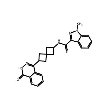 Cn1nc(C(=O)NC2CC3(C2)CC(c2n[nH]c(=O)c4ccccc24)C3)c2ccccc21